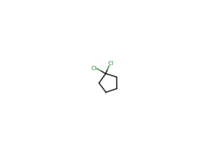 ClC1(Cl)C[CH]CC1